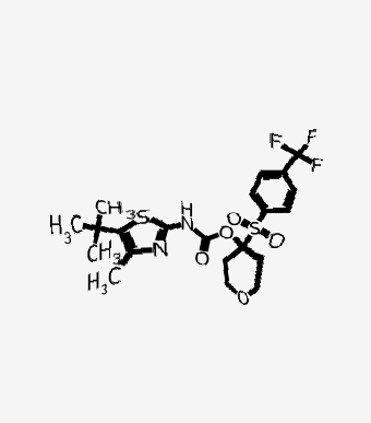 Cc1nc(NC(=O)OC2(S(=O)(=O)c3ccc(C(F)(F)F)cc3)CCOCC2)sc1C(C)(C)C